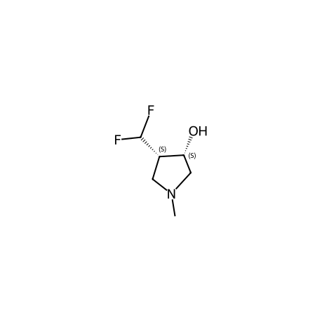 CN1C[C@@H](O)[C@@H](C(F)F)C1